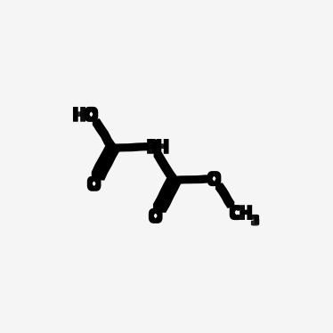 COC(=O)BC(=O)O